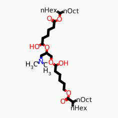 CCCCCCCCC(CCCCCC)OC(=O)CCCCC(O)OC(COC(O)CCCCCOC(=O)C(CCCCCC)CCCCCCCC)CN(C)C